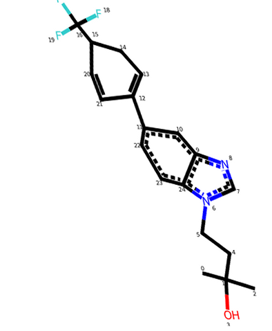 CC(C)(O)CCn1cnc2cc(C3=CCC(C(F)(F)F)C=C3)ccc21